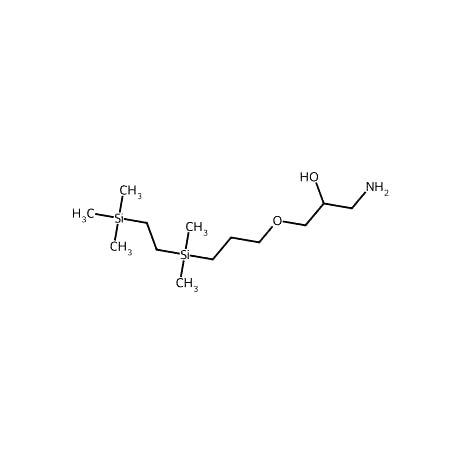 C[Si](C)(C)CC[Si](C)(C)CCCOCC(O)CN